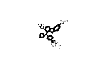 COc1ccc(C(C2=CC=CC2)c2cccc3c2Cc2ccccc2-3)cc1.[Cl-].[Cl-].[Zr+2]